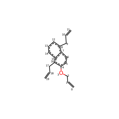 C=CCOc1ccc2c(CC=C)cccc2c1CC=C